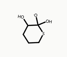 [O]C1(O)SCCCC1O